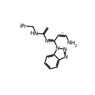 C=C(/N=C(\C=C/N)n1nnc2ccccc21)NCC(C)C